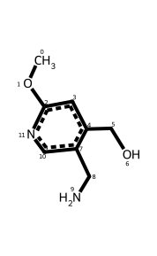 COc1cc(CO)c(CN)cn1